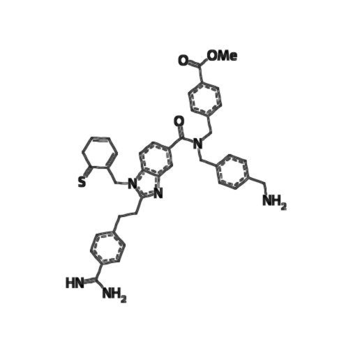 COC(=O)c1ccc(CN(Cc2ccc(CN)cc2)C(=O)c2ccc3c(c2)nc(CCc2ccc(C(=N)N)cc2)n3CC2=CC=CCC2=S)cc1